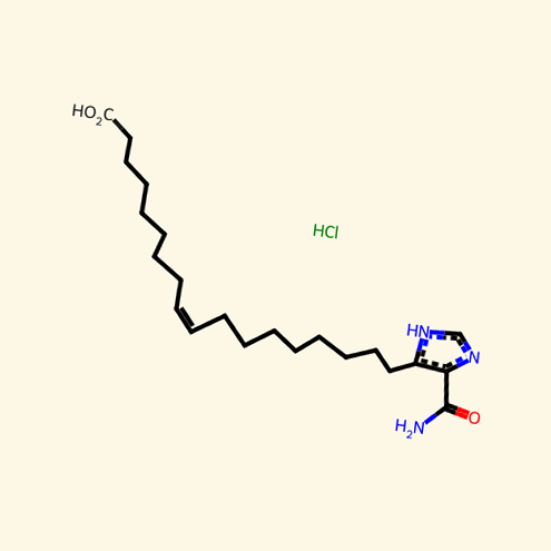 Cl.NC(=O)c1nc[nH]c1CCCCCCCC/C=C\CCCCCCCC(=O)O